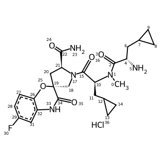 CN(C(=O)[C@@H](N)CC1CC1)[C@@H](CC1CC1)C(=O)N1C[C@@]2(C[C@H]1C(N)=O)Oc1ccc(F)cc1NC2=O.Cl